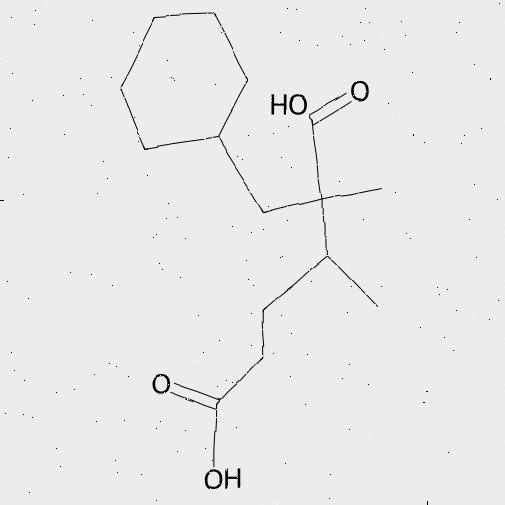 CC(CCC(=O)O)C(C)(CC1CCCCC1)C(=O)O